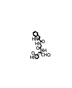 O=C[C@H](C[C@@H]1CCNC1=O)NC(=O)CNC(=O)c1cc2ccccc2[nH]1